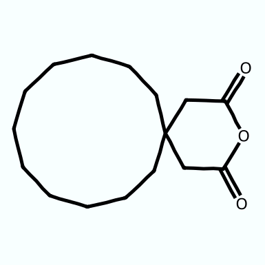 O=C1CC2(CCCCCCCCCCC2)CC(=O)O1